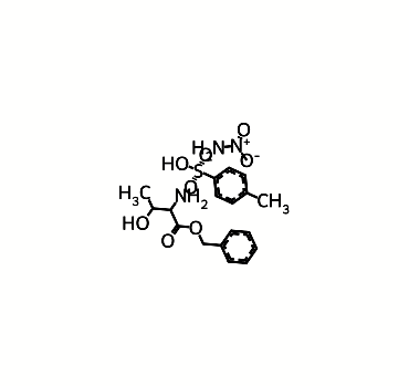 CC(O)C(N)C(=O)OCc1ccccc1.Cc1ccc(S(=O)(=O)O)cc1.N[N+](=O)[O-]